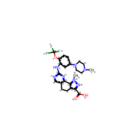 CN1CCN(c2ccc(OC(F)(F)F)c(Nc3ncc4c(n3)-c3c(c(C(=O)O)nn3C)CC4)c2)CC1